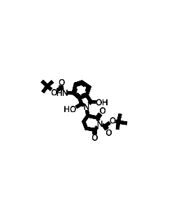 CC(C)(C)OC(=O)Nc1cccc2c1C(O)N(C1CCC(=O)N(C(=O)OC(C)(C)C)C1=O)C2O